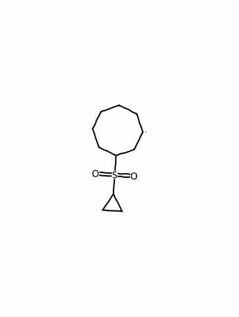 O=S(=O)(C1C[CH]CCCCC1)C1CC1